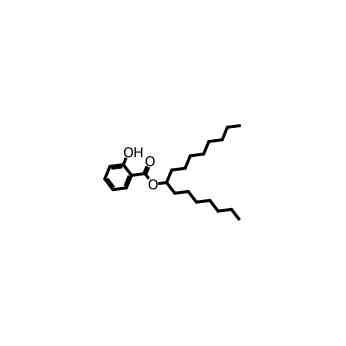 CCCCCCCCC(CCCCCCC)OC(=O)c1ccccc1O